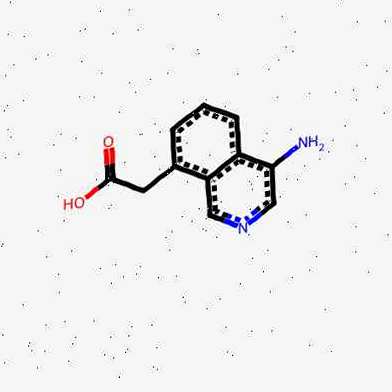 Nc1cncc2c(CC(=O)O)cccc12